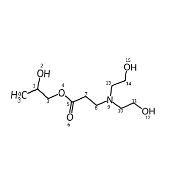 CC(O)COC(=O)CCN(CCO)CCO